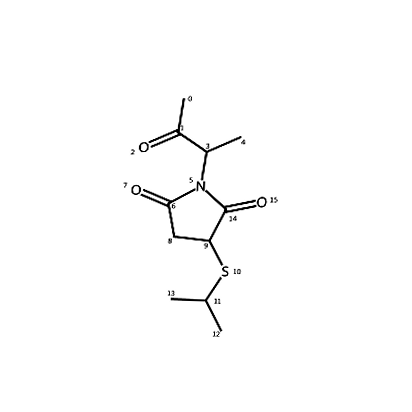 CC(=O)C(C)N1C(=O)CC(SC(C)C)C1=O